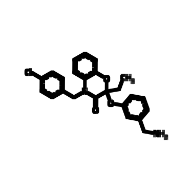 CCC1(Oc2cccc(CN)c2)Oc2ccccc2N(Cc2ccc(Cl)cc2)C1=O